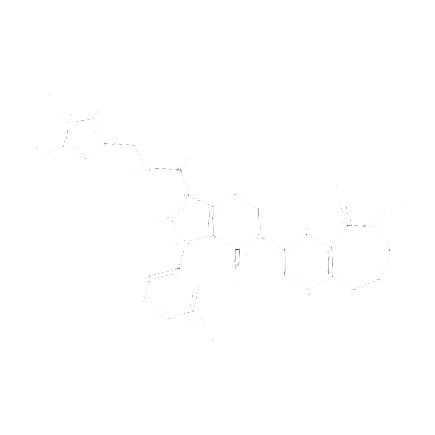 Cc1cc(CNC(=O)c2nn(-c3cccc(Cl)c3)c3c2CCN(c2ccc4c(c2)C(=O)N(C)CCC4)C3=O)nn1C